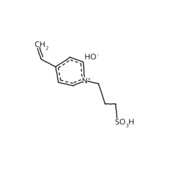 C=Cc1cc[n+](CCCS(=O)(=O)O)cc1.[OH-]